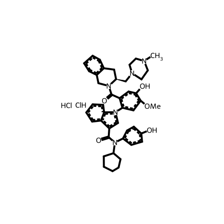 COc1cc(-n2cc(C(=O)N(c3ccc(O)cc3)C3CCCCC3)c3ccccc32)c(C(=O)N2Cc3ccccc3C[C@H]2CN2CCN(C)CC2)cc1O.Cl.Cl